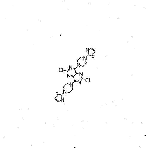 Clc1nc(N2CCN(c3nccs3)CC2)c2nc(Cl)nc(N3CCN(c4nccs4)CC3)c2n1